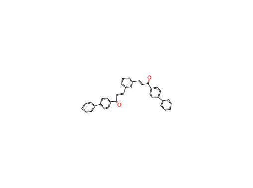 O=C(/C=C/c1cccc(/C=C/C(=O)c2ccc(-c3ccccc3)cc2)c1)c1ccc(-c2ccccc2)cc1